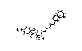 CC1(C(=O)NC(CCCCCCCc2ccc3c(n2)NCCC3)C(=O)O)CCC(N)CC1